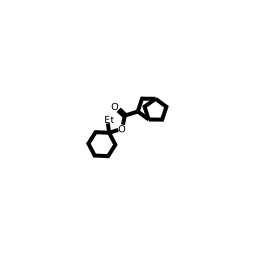 CCC1(OC(=O)C2CC3CCC2C3)CCCCC1